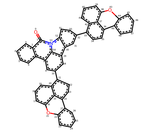 O=c1c2ccccc2c2cc(-c3ccc4c5c(cccc35)Oc3ccccc3-4)cc3c4cc(-c5ccc6c7c(cccc57)Oc5ccccc5-6)ccc4n1c23